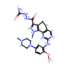 CN1CCN(c2ccc(OC(F)(F)F)c(Nc3ncc4c(n3)-c3c(c(C(=O)NNC(N)=O)nn3C)CC4)c2)CC1